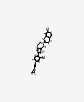 Clc1ccc2c(c1)C[C@@H](N1CCc3nc(-c4ccc(C#CC5CC5)cc4Cl)[nH]c3C1)CC2